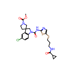 COC(=O)N1CCC2(C1)CN(C(=O)Nc1ncc(SCCCNC(=O)C3CC3)s1)c1ccc(Cl)cc12